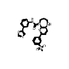 CS(=O)(=O)c1cccc(-c2ccc3c(n2)N(C(=O)Nc2cccc(-c4cnco4)c2)CCCN3)c1